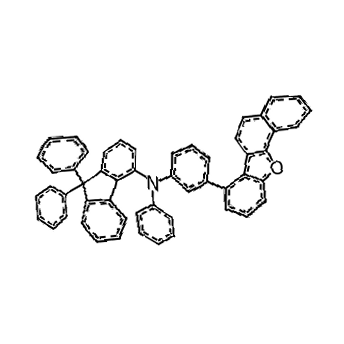 c1ccc(N(c2cccc(-c3cccc4oc5c6ccccc6ccc5c34)c2)c2cccc3c2-c2ccccc2C3(c2ccccc2)c2ccccc2)cc1